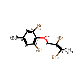 CC(Br)=C(Br)COc1c(Br)cc(C(C)(C)C)cc1Br